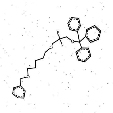 FC(F)(COCCCCCOCc1ccccc1)COC(c1ccccc1)(c1ccccc1)c1ccccc1